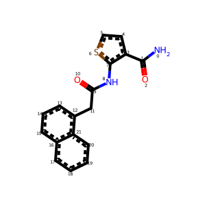 NC(=O)c1ccsc1NC(=O)Cc1cccc2ccccc12